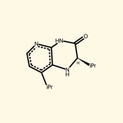 CC(C)c1ccnc2c1N[C@H](C(C)C)C(=O)N2